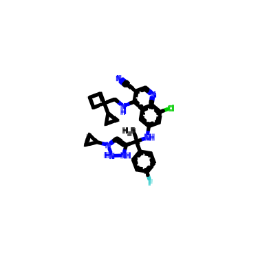 BC(Nc1cc(Cl)c2ncc(C#N)c(NCC3(C4CC4)CCC3)c2c1)(C1=CN(C2CC2)NN1)c1ccc(F)cc1